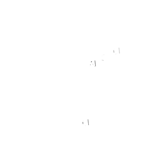 [Al+3].[Cl-].[Cl-].[Cl-].c1ccc2ccccc2c1